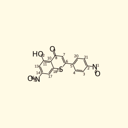 O=Nc1ccc(-c2cc(=O)c3c(O)cc(N=O)cc3s2)cc1